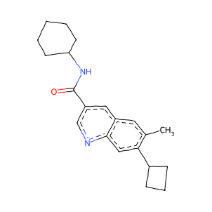 Cc1cc2cc(C(=O)NC3CCCCC3)cnc2cc1C1CCC1